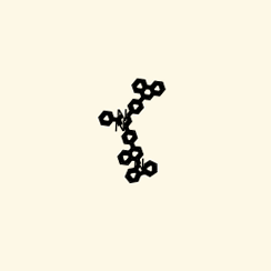 c1ccc(-c2nc(-c3ccc(-c4ccc(-n5c6ccccc6c6ccccc65)c5ccccc45)cc3)cc(-c3ccc(-c4cc5ccccc5c5ccccc45)cc3)n2)cc1